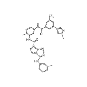 Cc1cccc(Nc2ncnc3c2ccn3C(=O)Nc2cc(NC(=O)c3cc(-n4cnc(C)c4)cc(C(F)(F)F)c3)ccc2C)c1